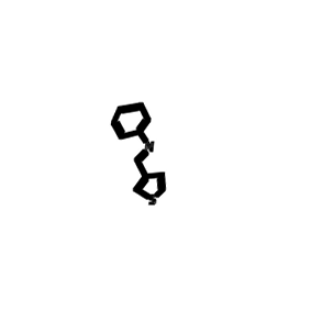 C(=N\c1ccccc1)/c1ccsc1